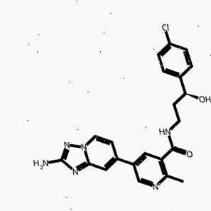 Cc1ncc(-c2ccn3nc(N)nc3c2)cc1C(=O)NCC[C@H](O)c1ccc(Cl)cc1